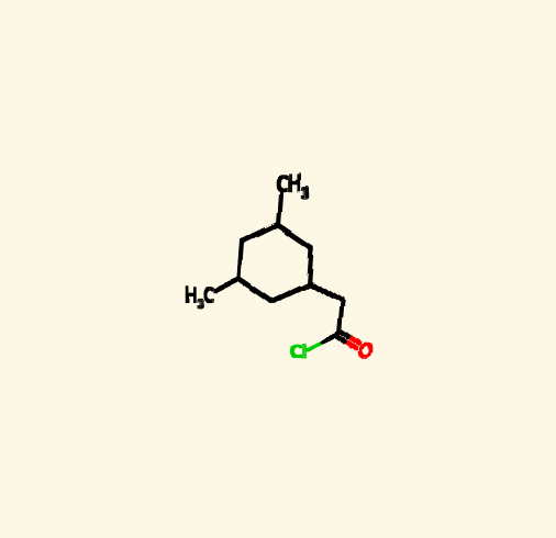 CC1CC(C)CC(CC(=O)Cl)C1